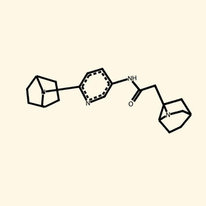 O=C(CN1CC2CCC1CC2)Nc1ccc(N2CC3CCC(CC3)C2)nc1